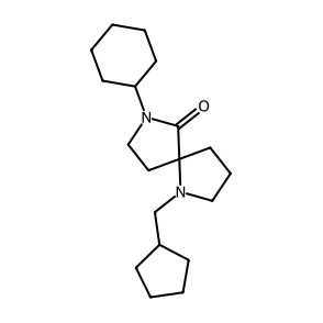 O=C1N(C2CCCCC2)CCC12CCCN2CC1CCCC1